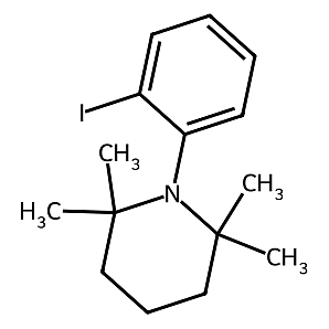 CC1(C)CCCC(C)(C)N1c1ccccc1I